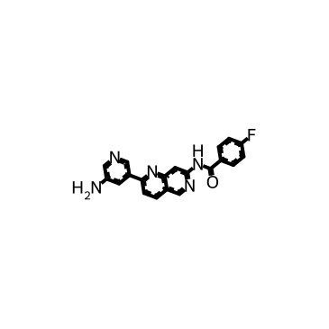 Nc1cncc(-c2ccc3cnc(NC(=O)c4ccc(F)cc4)cc3n2)c1